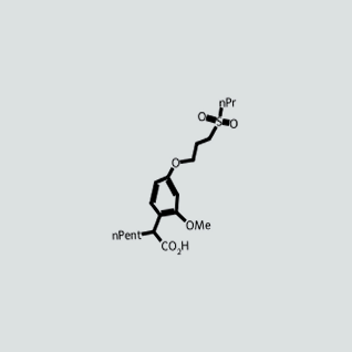 CCCCCC(C(=O)O)c1ccc(OCCCS(=O)(=O)CCC)cc1OC